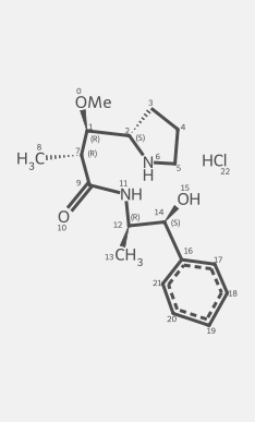 CO[C@@H]([C@@H]1CCCN1)[C@@H](C)C(=O)N[C@H](C)[C@@H](O)c1ccccc1.Cl